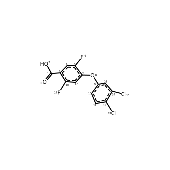 O=C(O)c1cc(F)c(Oc2ccc(Cl)c(Cl)c2)cc1F